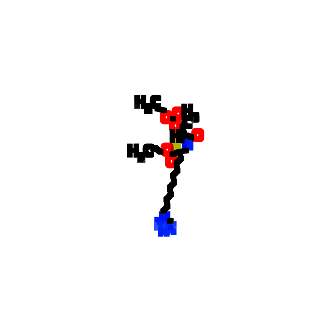 C=CCOC(=O)O[C@H](C)[C@H]1C(=O)N2CC(CCCCCCCCCCn3cnnn3)(C(=O)OCC=C)S[C@H]12